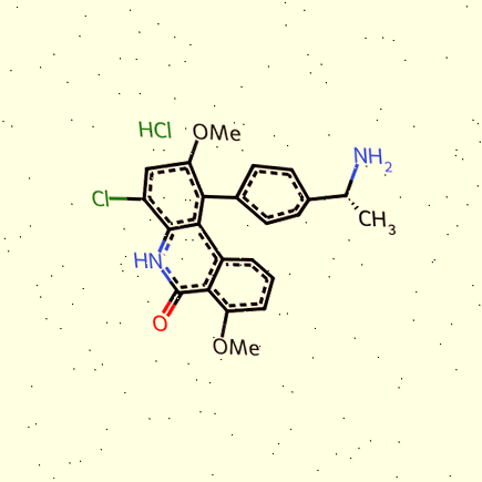 COc1cc(Cl)c2[nH]c(=O)c3c(OC)cccc3c2c1-c1ccc([C@@H](C)N)cc1.Cl